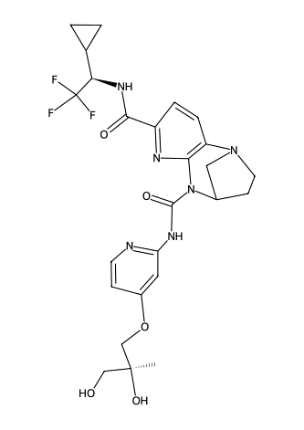 C[C@](O)(CO)COc1ccnc(NC(=O)N2c3nc(C(=O)N[C@H](C4CC4)C(F)(F)F)ccc3N3CCC2C3)c1